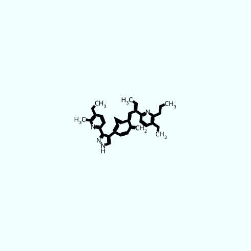 C=C1\C=C/C(c2c[nH]nc2-c2ccc(CC)c(C)n2)=C/C=C/C1=C/C(=C\C)c1ccc(CC)c(CCC)n1